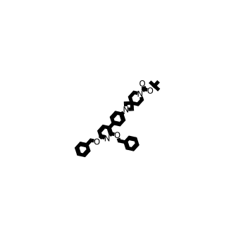 CC(C)(C)OC(=O)N1CCC2(CC1)CN(c1ccc(-c3ccc(OCc4ccccc4)nc3OCc3ccccc3)cc1)C2